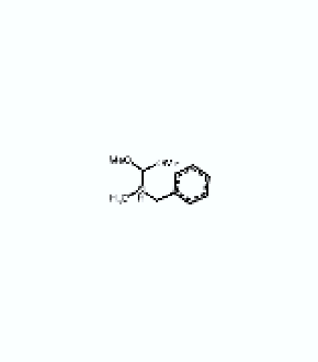 COC(OC)[SiH](C)Cc1ccccc1